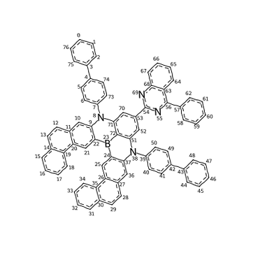 c1ccc(-c2ccc(N3c4cc5ccc6ccccc6c5cc4B4c5cc6c(ccc7ccccc76)cc5N(c5ccc(-c6ccccc6)cc5)c5cc(-c6nc(-c7ccccc7)c7ccccc7n6)cc3c54)cc2)cc1